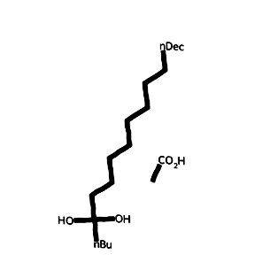 CC(=O)O.CCCCCCCCCCCCCCCCCCC(O)(O)CCCC